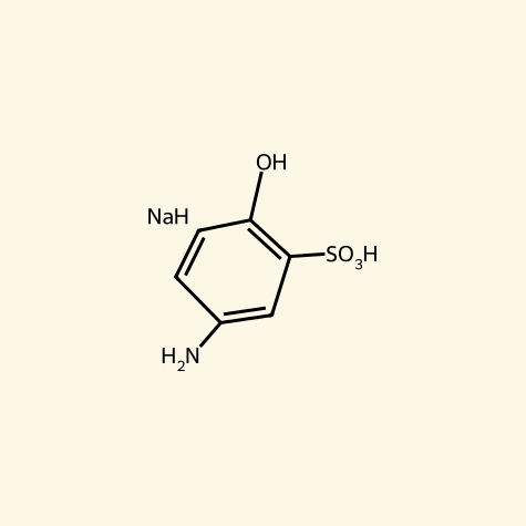 Nc1ccc(O)c(S(=O)(=O)O)c1.[NaH]